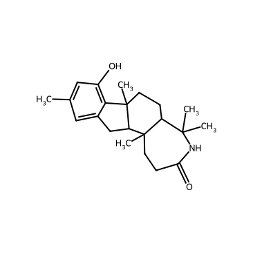 Cc1cc(O)c2c(c1)CC1C2(C)CCC2C(C)(C)NC(=O)CCC21C